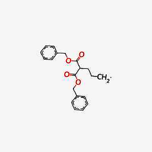 [CH2]CCC(C(=O)OCc1ccccc1)C(=O)OCc1ccccc1